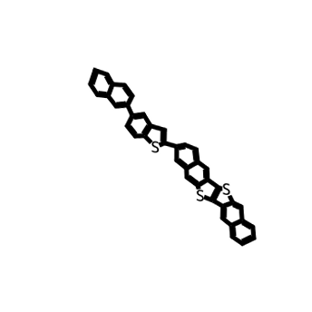 c1ccc2cc(-c3ccc4sc(-c5ccc6cc7c(cc6c5)sc5c6cc8ccccc8cc6sc75)cc4c3)ccc2c1